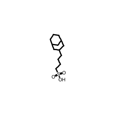 O=S(=O)(O)CCCCC1CC2CCCC(C1)C2